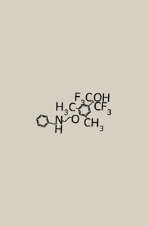 Cc1cc(C(O)(C(F)(F)F)C(F)(F)F)cc(C)c1OCCNCc1ccccc1